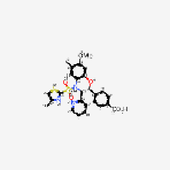 COc1cc(OCc2ccc(C(=O)O)cc2)c(N(Cc2ccccn2)S(=O)(=O)c2nc(C)cs2)cc1C